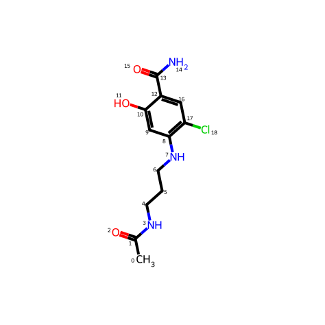 CC(=O)NCCCNc1cc(O)c(C(N)=O)cc1Cl